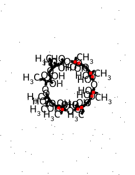 CCCC1OC2OC(CC)C(OOC(CC)C(C(O)C(C)O)OC3OC(CC)C(OC4OC(CC)C(OC5OC(CC)C(OC6OC(CC)C(OC7OC(CC)C(OC(O)/C(O)=C/1O)C(O)C7O)C(O)C6O)C(O)C5O)C(O)C4O)C(O)C3O)C(O)C2O